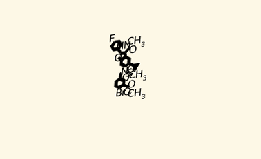 CNC(=O)c1c(-c2ccc(F)cc2)oc2cc(N(Cc3ccc(Br)c(C(=O)OC)c3)S(C)(=O)=O)c(C3CC3)cc12